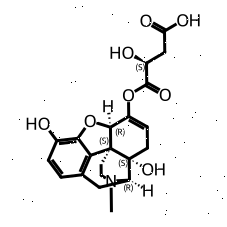 CN1CC[C@]23c4c5ccc(O)c4O[C@H]2C(OC(=O)[C@@H](O)CC(=O)O)=CC[C@@]3(O)[C@H]1C5